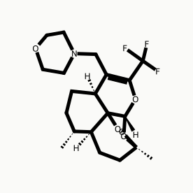 C[C@@H]1CC[C@H]2C(CN3CCOCC3)=C(C(F)(F)F)O[C@@H]3O[C@]4(C)CC[C@@H]1C32OO4